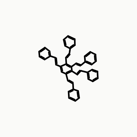 [c]1c(/C=C/c2ccccc2)c(/C=C/c2ccccc2)c(/C=C/c2ccccc2)c(/C=C/c2ccccc2)c1/C=C/c1ccccc1